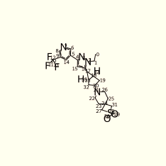 CCn1nc(-c2cncc(C(F)(F)F)c2)cc1C1[C@H]2CC(N3CCC4(CC3)CS(=O)(=O)C4)C[C@@H]12